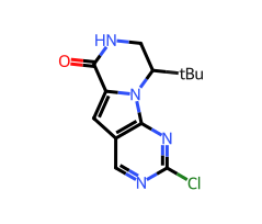 CC(C)(C)C1CNC(=O)c2cc3cnc(Cl)nc3n21